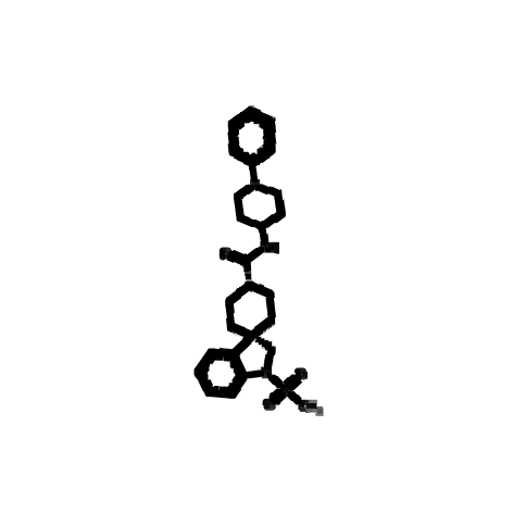 CS(=O)(=O)N1C[C@]2(CC[C@@H](C(=O)NC3CCN(c4ccccc4)CC3)CC2)c2ccccc21